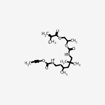 C=C(C)C(=O)OCC(C)OC(=O)NCC(C)(C)CC(C)CCNC(=O)OC#CC